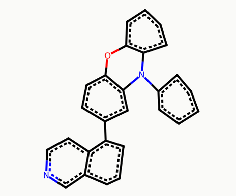 c1ccc(N2c3ccccc3Oc3ccc(-c4cccc5cnccc45)cc32)cc1